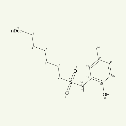 CCCCCCCCCCCCCCCCS(=O)(=O)Nc1cc(C)ccc1O